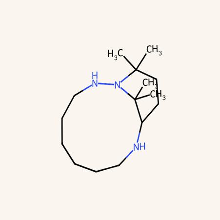 CC1(C)CCC2NCCCCCCNN1C2(C)C